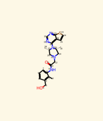 Cc1c(CO)cccc1NC(=O)CN1C[C@@H](C)N(c2ncnc3sccc23)[C@@H](C)C1